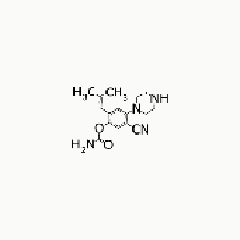 CC(C)=Cc1cc(N2CCNCC2)c(C#N)cc1OC(N)=O